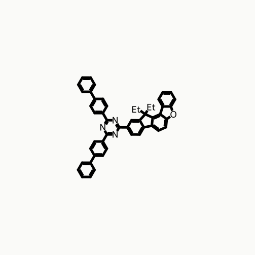 CCC1(CC)c2cc(-c3nc(-c4ccc(-c5ccccc5)cc4)nc(-c4ccc(-c5ccccc5)cc4)n3)ccc2-c2ccc3oc4ccccc4c3c21